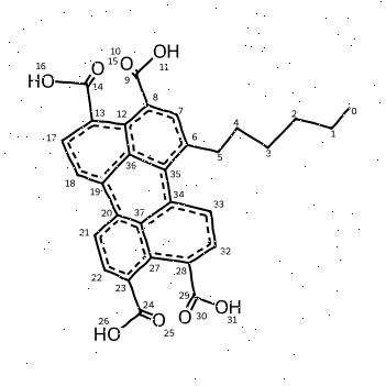 CCCCCCc1cc(C(=O)O)c2c(C(=O)O)ccc3c4ccc(C(=O)O)c5c(C(=O)O)ccc(c1c23)c54